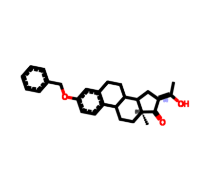 C/C(O)=C1\CC2C3CCc4cc(OCc5ccccc5)ccc4C3CC[C@]2(C)C1=O